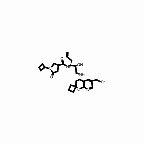 C=CC[C@H](NC(=O)C1CC(=O)N(C2CCC2)C1)[C@H](O)CN[C@H]1CC2(CCC2)Oc2ncc(CC(C)C)cc21